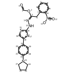 O=CO/C(Cc1ccccc1[N+](=O)[O-])=N/Nc1nc(-c2ccc(N3CCCC3)cc2)cs1